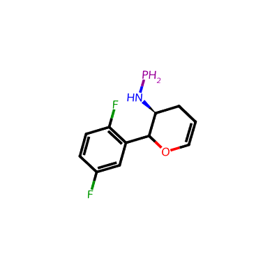 Fc1ccc(F)c(C2OC=CC[C@@H]2NP)c1